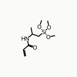 C=CC(=O)NC(C)C[Si](OC)(OC)OC